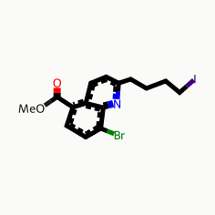 COC(=O)c1ccc(Br)c2nc(CCCCI)ccc12